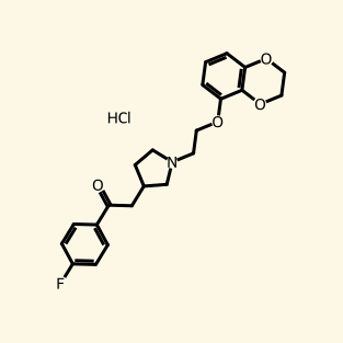 Cl.O=C(CC1CCN(CCOc2cccc3c2OCCO3)C1)c1ccc(F)cc1